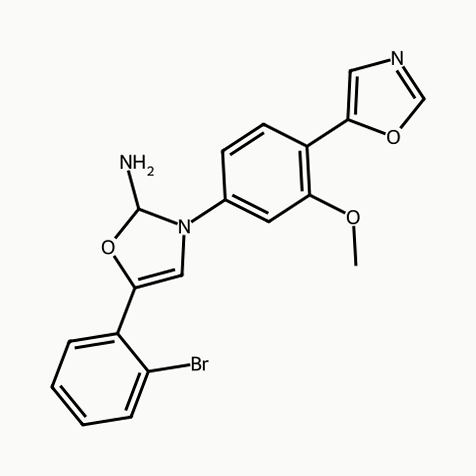 COc1cc(N2C=C(c3ccccc3Br)OC2N)ccc1-c1cnco1